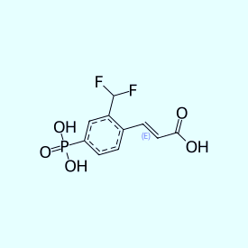 O=C(O)/C=C/c1ccc(P(=O)(O)O)cc1C(F)F